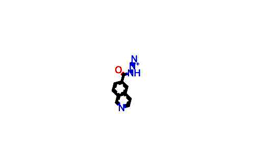 N#[N+]NC(=O)c1ccc2cnccc2c1